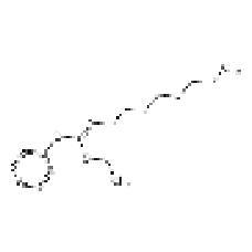 CCCCCCCCN=C(OCC)Oc1ccccc1